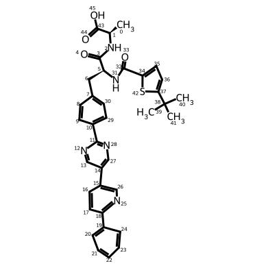 C[C@@H](NC(=O)[C@H](Cc1ccc(-c2ncc(-c3ccc(-c4ccccc4)nc3)cn2)cc1)NC(=O)c1ccc(C(C)(C)C)s1)C(=O)O